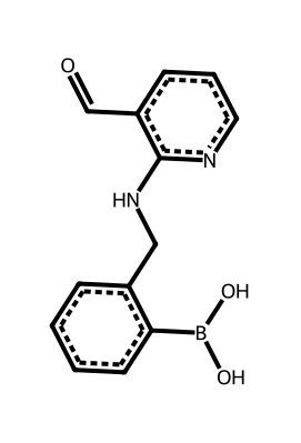 O=Cc1cccnc1NCc1ccccc1B(O)O